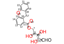 O=C[C@@H](O)[C@H](O)[C@H](O)COC(=O)c1cccc2c1Cc1ccccc1O2